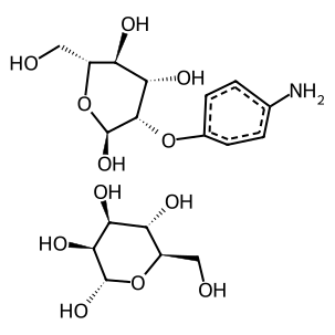 Nc1ccc(O[C@H]2[C@@H](O)[C@H](O)[C@@H](CO)O[C@@H]2O)cc1.OC[C@H]1O[C@H](O)[C@@H](O)[C@@H](O)[C@@H]1O